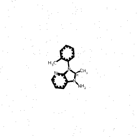 Cc1ccccc1N1c2ncccc2N(N)[C@@H]1C